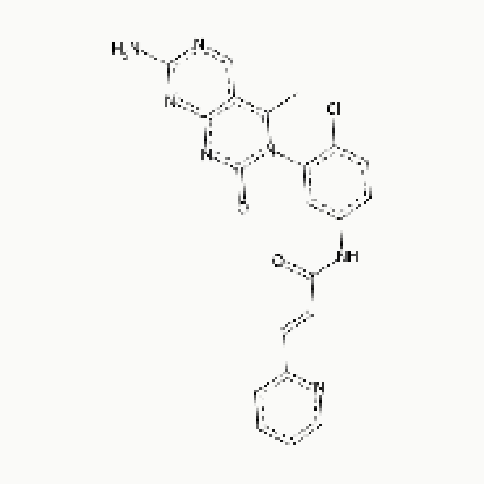 Cc1c2cnc(N)nc2nc(=O)n1-c1cc(NC(=O)C=Cc2ccccn2)ccc1Cl